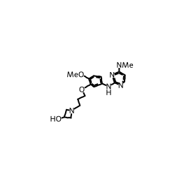 CNc1ccnc(Nc2ccc(OC)c(OCCCN3CC(O)C3)c2)n1